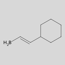 B/C=C/C1CCCCC1